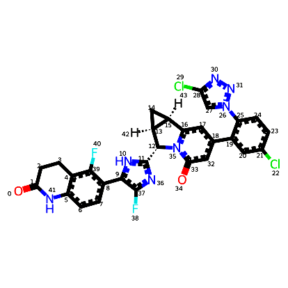 O=C1CCc2c(ccc(-c3[nH]c([C@@H]4[C@H]5C[C@H]5c5cc(-c6cc(Cl)ccc6-n6cc(Cl)nn6)cc(=O)n54)nc3F)c2F)N1